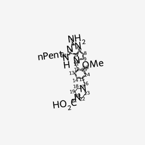 CCCCCNc1nc(N)nc2ccn(Cc3ccc(CN4CCN(C(=O)O)CC4)cc3OC)c12